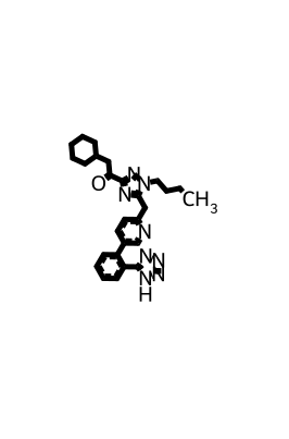 CCCCn1nc(C(=O)CC2CCCCC2)nc1Cc1ccc(-c2ccccc2-c2nnn[nH]2)cn1